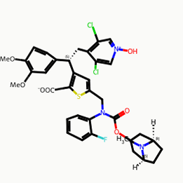 COc1ccc([C@H](Cc2c(Cl)c[n+](O)cc2Cl)c2cc(CN(C(=O)OC3C[C@H]4CC[C@@H](C3)N4C)c3ccccc3F)sc2C(=O)[O-])cc1OC